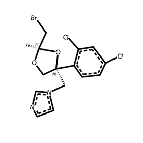 C[C@@]1(CBr)OC[C@](Cn2ccnc2)(c2ccc(Cl)cc2Cl)O1